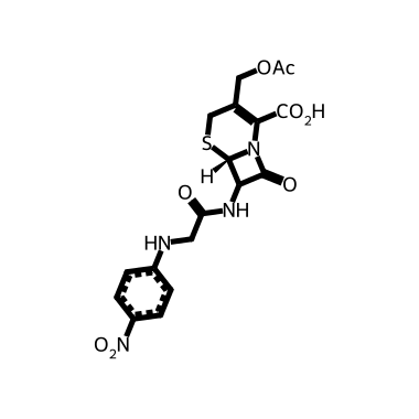 CC(=O)OCC1=C(C(=O)O)N2C(=O)C(NC(=O)CNc3ccc([N+](=O)[O-])cc3)[C@@H]2SC1